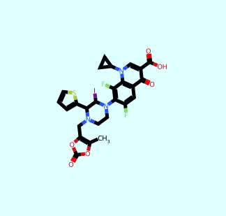 Cc1oc(=O)oc1CN1CCN(c2c(F)cc3c(=O)c(C(=O)O)cn(C4CC4)c3c2F)C(I)C1c1cccs1